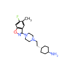 Cc1cc2c(N3CCN(CC[C@H]4CC[C@H](N)CC4)CC3)noc2cc1F